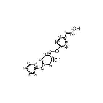 Cl.ON=Cc1cnc(OCC2CCN(Cc3ccccc3)CC2)nc1